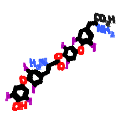 N[C@@H](Cc1cc(I)c(Oc2cc(I)c(OC(=O)[C@@H](N)Cc3cc(I)c(Oc4cc(I)c(O)c(I)c4)c(I)c3)c(I)c2)c(I)c1)C(=O)O